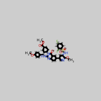 COC(=O)c1ccc(-n2c(NCc3ccc(OC)cc3)nc3ccc(-c4cnc(OC)c(NS(=O)(=O)c5ccc(F)cc5F)c4)cc3c2=O)cc1